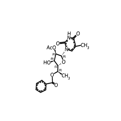 CC(=O)O[C@@H]1[C@H](O)[C@@H]([C@@H](C)OC(=O)c2ccccc2)O[C@H]1n1cc(C)c(=O)[nH]c1=O